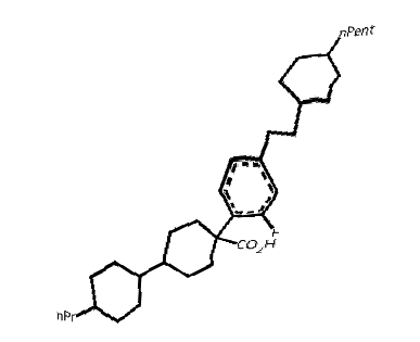 CCCCCC1CCC(CCc2ccc(C3(C(=O)O)CCC(C4CCC(CCC)CC4)CC3)c(F)c2)CC1